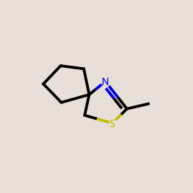 CC1=NC2(CCCC2)CS1